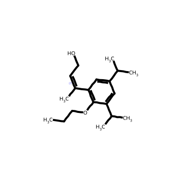 CCCOc1c(/C(C)=C\CO)cc(C(C)C)cc1C(C)C